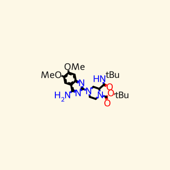 COc1cc2nc(N3CCN(C(=O)OC(C)(C)C)C(C(=O)NC(C)(C)C)C3)nc(N)c2cc1OC